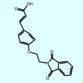 O=C(O)C=Cc1ccc(OCCN2C(=O)c3ccccc3C2=O)cc1